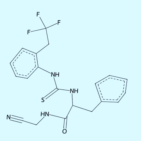 N#CCNC(=O)C(Cc1ccccc1)NC(=S)Nc1ccccc1CC(F)(F)F